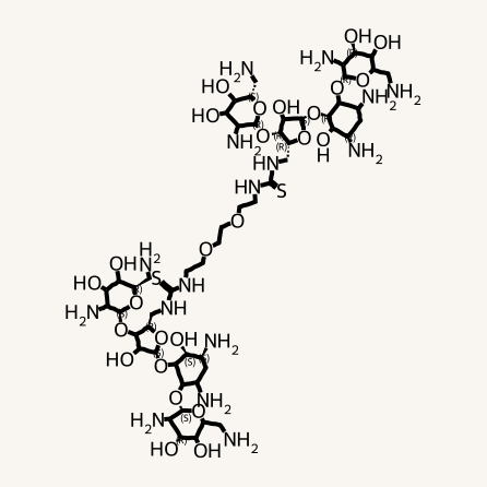 NCC1O[C@H](OC2C(N)C[C@@H](N)C(O)[C@H]2O[C@@H]2O[C@H](CNC(=S)NCCOCCOCCNC(=S)NC[C@H]3O[C@@H](OC4C(O[C@@H]5OC(CN)C(O)[C@H](O)C5N)C(N)C[C@H](N)[C@@H]4O)C(O)C3O[C@@H]3O[C@H](CN)C(O)C(O)C3N)[C@H](O[C@H]3O[C@@H](CN)C(O)C(O)C3N)C2O)C(N)[C@@H](O)C1O